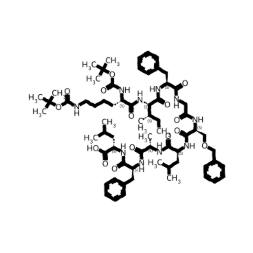 CC[C@H](C)[C@H](NC(=O)[C@H](CCCCNC(=O)OC(C)(C)C)NC(=O)OC(C)(C)C)C(=O)N[C@@H](Cc1ccccc1)C(=O)NCC(=O)N[C@@H](COCc1ccccc1)C(=O)N[C@@H](CC(C)C)C(=O)N[C@@H](C)C(=O)N[C@@H](Cc1ccccc1)C(=O)N[C@@H](CC(C)C)C(=O)O